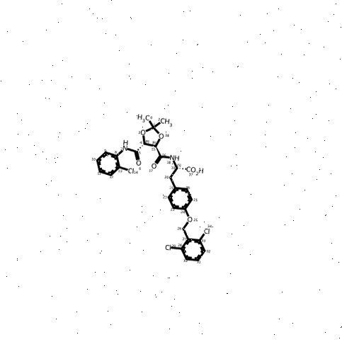 CC1(C)O[C@@H](C(=O)Nc2ccccc2Cl)[C@H](C(=O)N[C@@H](Cc2ccc(OCc3c(Cl)cccc3Cl)cc2)C(=O)O)O1